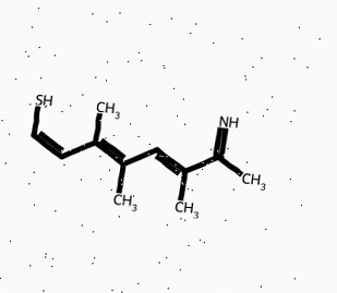 CC(=N)/C(C)=C/C(C)=C(C)/C=C\S